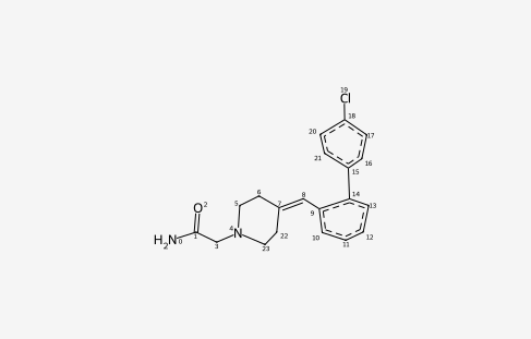 NC(=O)CN1CCC(=Cc2ccccc2-c2ccc(Cl)cc2)CC1